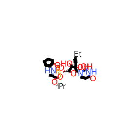 CCC#C[C@@]1(O)[C@H](O)[C@@H](COP(=S)(NC(C)C(=O)OC(C)C)Oc2ccccc2)O[C@H]1N1C=CC(=O)NC1O